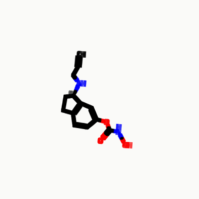 C#CCN[C@@H]1CCc2ccc(OC(=O)NO)cc21